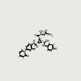 CN(CC(N)=O)C(=O)[C@@H]1[C@@H](C(=O)Nc2ccc(-n3ccccc3=O)cc2F)[C@H]1C(O)Nc1ccc(Cl)cc1